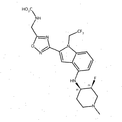 CN1CC[C@@H](Nc2cccc3c2cc(-c2noc(CNC(=O)O)n2)n3CC(F)(F)F)[C@@H](F)C1